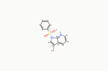 O=S(=O)(c1ccccc1)n1cc(I)c2cccnc21